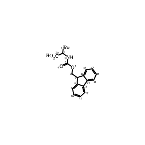 CCC(C)C(NC(=O)OCC1c2ccccc2-c2ccccc21)C(=O)O